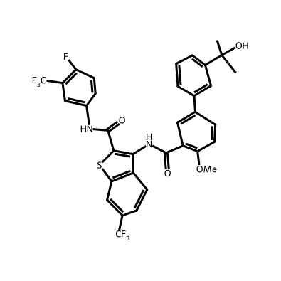 COc1ccc(-c2cccc(C(C)(C)O)c2)cc1C(=O)Nc1c(C(=O)Nc2ccc(F)c(C(F)(F)F)c2)sc2cc(C(F)(F)F)ccc12